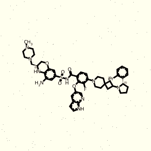 CC(C)c1ccccc1[C@@H]1CCCN1C1CC2(CCN(c3ccc(C(=O)NS(=O)(=O)c4cc(N)c5c(c4)OC[C@H](CN4CCN(C)CC4)N5)c(Oc4cnc5[nH]ccc5c4)c3F)CC2)C1